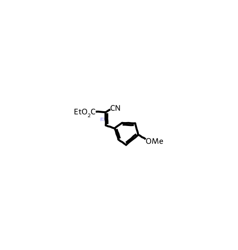 CCOC(=O)/C(C#N)=C/c1ccc(OC)cc1